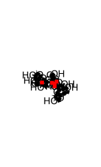 CCCO[C@@H]1OC(C)[C@H](O)[C@H](C)C1O[C@@H]1OC(CO)[C@H](O)[C@H](O[C@@H]2OC(C(=O)O)[C@H](O[C@@H]3O[C@@H](C)[C@H](O)C(O)C3O[C@@H]3O[C@@H](C)[C@H](O)C(O)C3OC(C)=O)[C@H](O)C2O)C1NC(C)=O